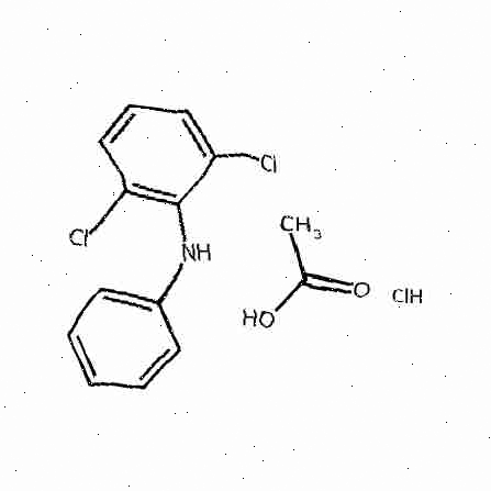 CC(=O)O.Cl.Clc1cccc(Cl)c1Nc1ccccc1